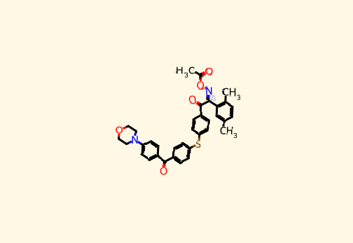 CC(=O)O/N=C(\C(=O)c1ccc(Sc2ccc(C(=O)c3ccc(N4CCOCC4)cc3)cc2)cc1)c1cc(C)ccc1C